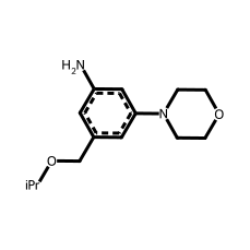 CC(C)OCc1cc(N)cc(N2CCOCC2)c1